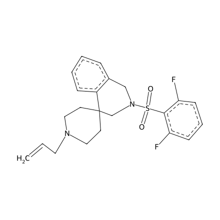 C=CCN1CCC2(CC1)CN(S(=O)(=O)c1c(F)cccc1F)Cc1ccccc12